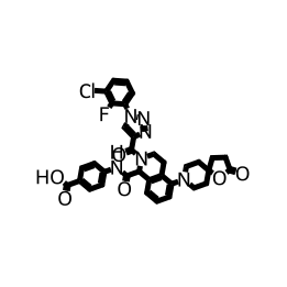 O=C1CCC2(CCN(c3cccc4c3CCN(C(=O)c3cn(-c5cccc(Cl)c5F)nn3)C4C(=O)Nc3ccc(C(=O)O)cc3)CC2)O1